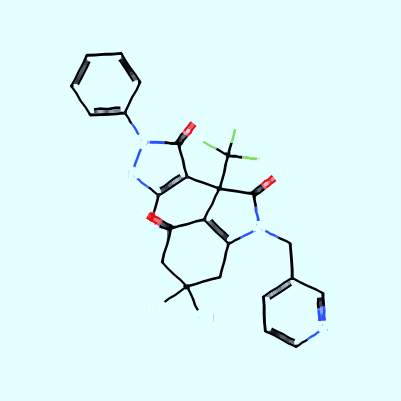 Cc1[nH]n(-c2ccccc2)c(=O)c1C1(C(F)(F)F)C(=O)N(Cc2cccnc2)C2=C1C(=O)CC(C)(C)C2